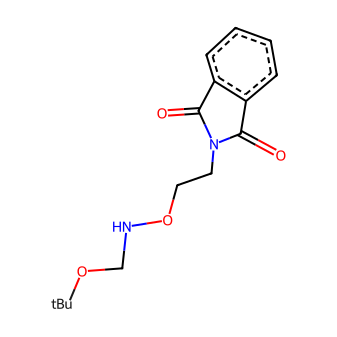 CC(C)(C)OCNOCCN1C(=O)c2ccccc2C1=O